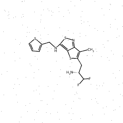 Cc1c(C[C@@H](N)C(F)F)sc2c(NCc3cccs3)snc12